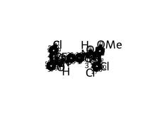 COc1ccc2c(c1)c(C(=O)C(=O)Nc1ccccc1)c(C(F)(F)F)n2Cc1ccc(Cl)cc1Cl.O=C(Nc1ccccc1)C(=O)c1c(C(F)(F)F)n(Cc2ccc(Cl)cc2)c2ccccc12